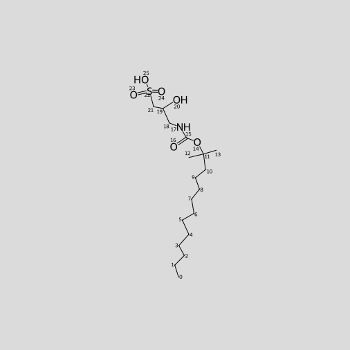 CCCCCCCCCCCC(C)(C)OC(=O)NCC(O)CS(=O)(=O)O